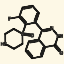 O=c1[nH]nc(-c2cccc(F)c2P2(=O)CCNCC2)c2ccccc12